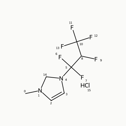 CN1C=CN(C(F)(F)C(F)C(F)(F)F)C1.Cl